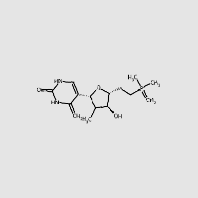 C=C1NC(=O)NC=C1[C@@H]1O[C@H](CCP(=C)(C)C)[C@@H](O)C1C